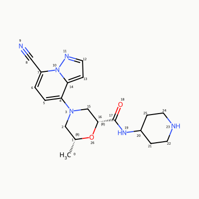 C[C@@H]1CN(c2ccc(C#N)n3nccc23)C[C@H](C(=O)NC2CCNCC2)O1